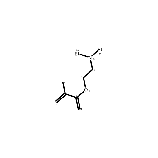 C=C(C)C(=C)OCCN(CC)CC